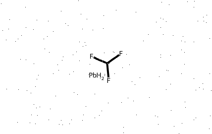 F[C](F)F.[PbH2]